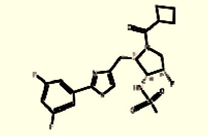 CS(=O)(=O)N[C@H]1[C@@H](F)CN(C(=O)C2CCC2)[C@H]1Cc1csc(-c2cc(F)cc(F)c2)n1